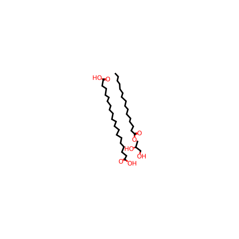 CCCCCCCCCCCCCCCC(=O)OCC(O)CO.O=C(O)CCCCCCCCCCCCCCCCCCC(=O)O